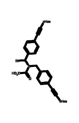 CCCCCCC#Cc1ccc(CN(C(=O)C(=O)O)C(CC)c2ccc(C#CCCCCCC)cc2)cc1